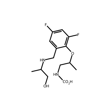 CC(CO)NCc1cc(F)cc(F)c1OC(C)CNC(=O)O